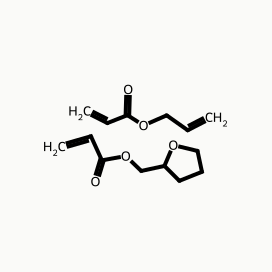 C=CC(=O)OCC1CCCO1.C=CCOC(=O)C=C